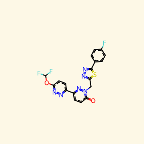 O=c1ccc(-c2ccc(OC(F)F)nn2)nn1Cc1nnc(-c2ccc(F)cc2)s1